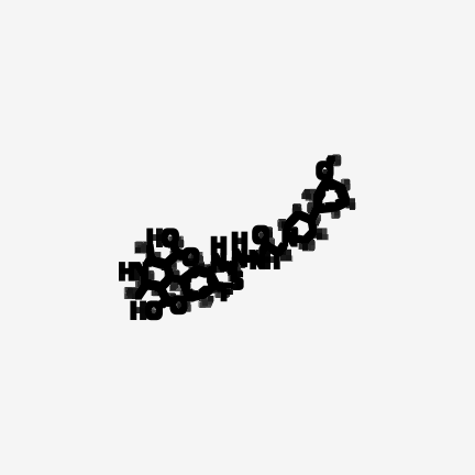 COc1cccc(C2CCN(CC(=O)NNC(=S)Nc3cc(C4C(C(=O)O)=C(C)NC(C)=C4C(=O)O)ccc3F)CC2)c1